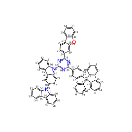 c1ccc([Si](c2ccccc2)(c2ccccc2)c2ccc(-c3nc(-c4ccc5c(c4)oc4ccccc45)nc(-n4c5ccccc5c5cc(-n6c7ccccc7c7ccccc76)ccc54)n3)cc2)cc1